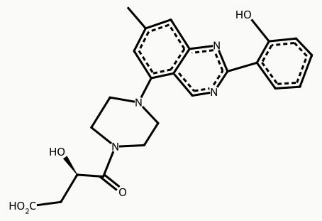 Cc1cc(N2CCN(C(=O)[C@H](O)CC(=O)O)CC2)c2cnc(-c3ccccc3O)nc2c1